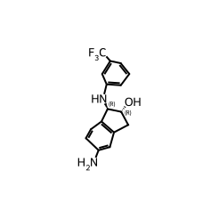 Nc1ccc2c(c1)C[C@@H](O)[C@@H]2Nc1cccc(C(F)(F)F)c1